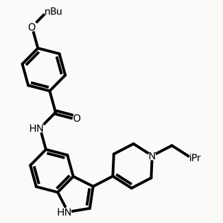 CCCCOc1ccc(C(=O)Nc2ccc3[nH]cc(C4=CCN(CC(C)C)CC4)c3c2)cc1